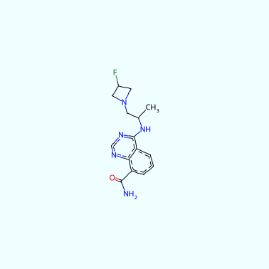 CC(CN1CC(F)C1)Nc1ncnc2c(C(N)=O)cccc12